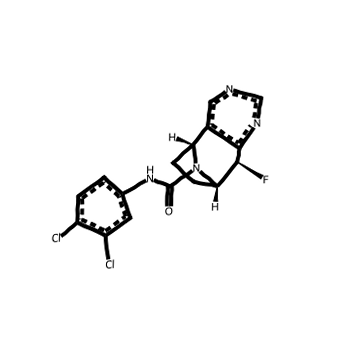 O=C(Nc1ccc(Cl)c(Cl)c1)N1[C@@H]2CC[C@H]1[C@H](F)c1ncncc12